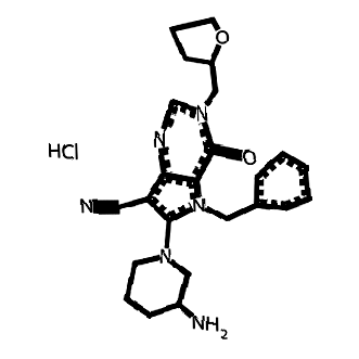 Cl.N#Cc1c(N2CCCC(N)C2)n(Cc2ccccc2)c2c(=O)n(CC3CCCO3)cnc12